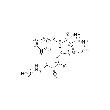 O=C(O)NCCC(=O)N1CCN(c2ccnc3[nH]cc(NCc4cccnc4)c23)CC1